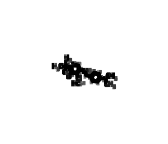 CN(C)c1ccc(CNc2cnn(C(C)(C)C)c(=O)c2Cl)cc1.Cl